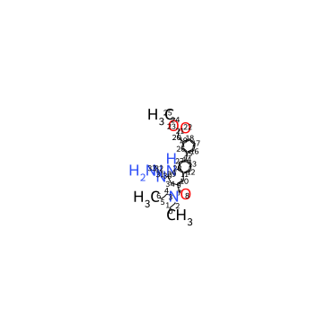 CCCN(CCC)C(=O)C1=Cc2ccc(-c3cccc(CC(=O)OCC)c3)cc2NC(N=NN)C1